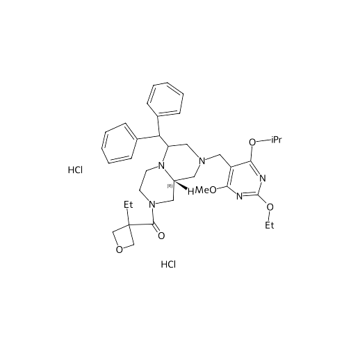 CCOc1nc(OC)c(CN2CC(C(c3ccccc3)c3ccccc3)N3CCN(C(=O)C4(CC)COC4)C[C@H]3C2)c(OC(C)C)n1.Cl.Cl